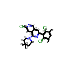 Cc1cc(C)c(Cl)c(-c2cc3cnc(Cl)cc3c(N3CCC(C)(C)CC3)n2)c1Cl